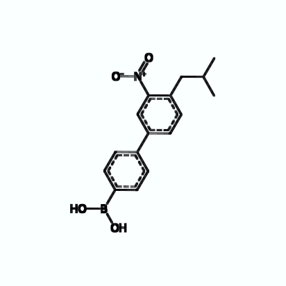 CC(C)Cc1ccc(-c2ccc(B(O)O)cc2)cc1[N+](=O)[O-]